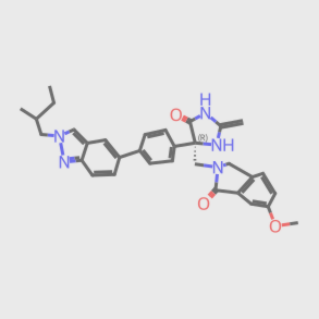 C=C1NC(=O)[C@](CN2Cc3ccc(OC)cc3C2=O)(c2ccc(-c3ccc4nn(CC(C)CC)cc4c3)cc2)N1